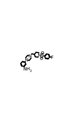 Nc1cccc(N2CCN(CC3CCN(S(=O)(=O)c4ccc(F)cc4)CC3)CC2)c1